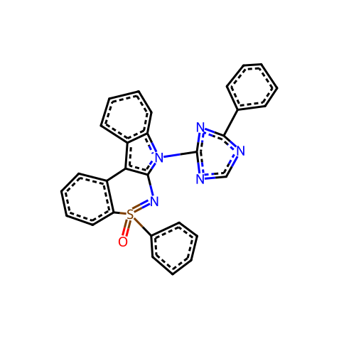 O=S1(c2ccccc2)=Nc2c(c3ccccc3n2-c2ncnc(-c3ccccc3)n2)-c2ccccc21